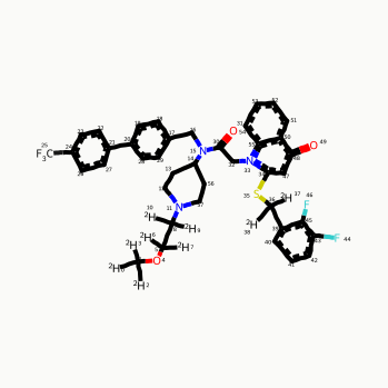 [2H]C([2H])([2H])OC([2H])([2H])C([2H])([2H])N1CCC(N(Cc2ccc(-c3ccc(C(F)(F)F)cc3)cc2)C(=O)Cn2c(SC([2H])([2H])c3cccc(F)c3F)cc(=O)c3ccccc32)CC1